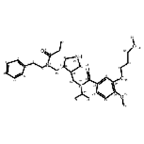 CCC(=O)N(CCc1ccccc1)C[C@@H]1CNCC1CN(C(=O)c1ccc(OC)c(OCCCOC)c1)C(C)C